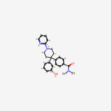 CCN(CC)C(=O)c1ccc(C2(c3cccc(O)c3)CCN(c3ccccn3)CC2)cc1